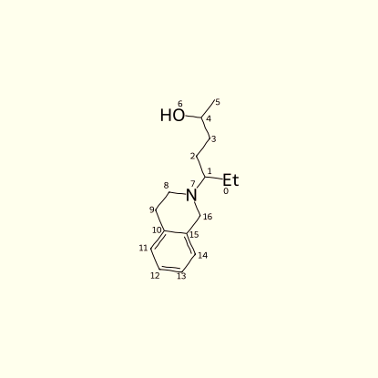 CCC(CCC(C)O)N1CCc2ccccc2C1